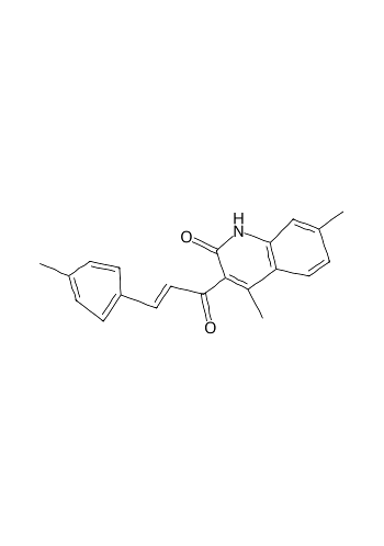 Cc1ccc(C=CC(=O)c2c(C)c3ccc(C)cc3[nH]c2=O)cc1